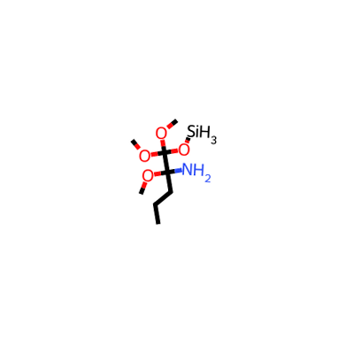 CCCC(N)(OC)C(OC)(OC)O[SiH3]